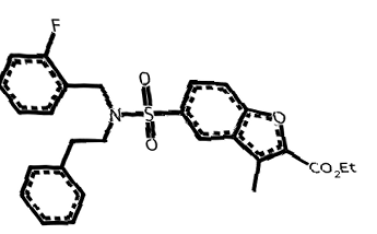 CCOC(=O)c1oc2ccc(S(=O)(=O)N(CCc3ccccc3)Cc3ccccc3F)cc2c1C